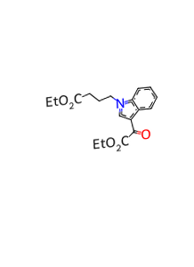 CCOC(=O)CCCn1cc(C(=O)C(=O)OCC)c2ccccc21